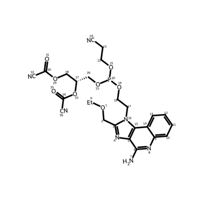 CCOCc1nc2c(N)nc3ccccc3c2n1CCOP(OCCC#N)OC[C@@H](COC(=O)C#N)OC(=O)C#N